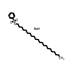 CCCCCCCCCCCCCCCCCCCCCCOS(=O)(=O)c1ccccc1.[NaH]